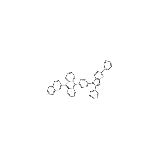 c1ccc(-c2ccc3c(c2)nc(-c2ccccc2)n3-c2ccc(-c3c4ccccc4c(-c4ccc5ccccc5c4)c4ccccc34)cc2)cc1